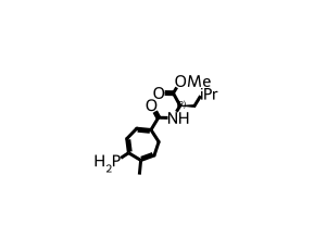 COC(=O)[C@@H](CC(C)C)NC(=O)C1=CC=C(P)C(C)=CC1